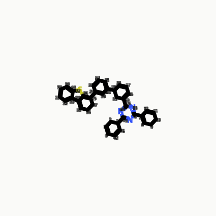 C1=CCC(c2nc(C3=CCCC=C3)nc(C3=CC=CC(c4cccc(C5=c6sc7ccccc7c6=CCC5)c4)C3)n2)C=C1